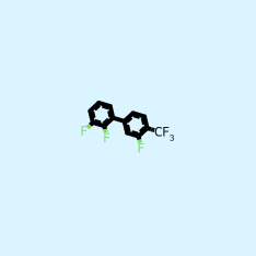 Fc1cc(-c2cccc(F)c2F)ccc1C(F)(F)F